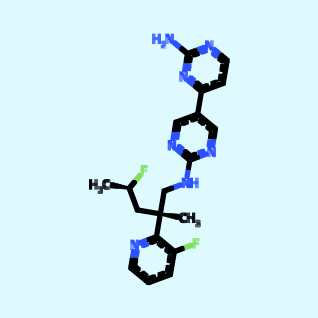 C[C@@H](F)C[C@](C)(CNc1ncc(-c2ccnc(N)n2)cn1)c1ncccc1F